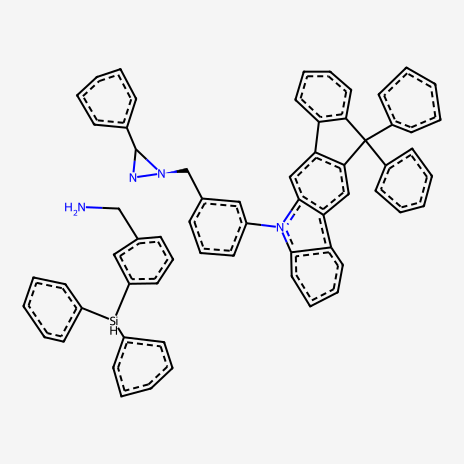 NC(c1cccc([SiH](c2ccccc2)c2ccccc2)c1)[N@@]1C(c2ccccc2)[N@@]1Cc1cccc(-n2c3ccccc3c3cc4c(cc32)-c2ccccc2C4(c2ccccc2)c2ccccc2)c1